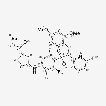 COc1ccc(CN(c2cccc(F)n2)S(=O)(=O)c2c(F)cc(NC3CCN(C(=O)OC(C)(C)C)C3)c(C)c2F)c(OC)c1